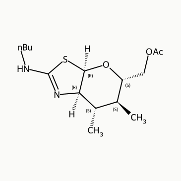 CCCCNC1=N[C@@H]2[C@@H](C)[C@H](C)[C@@H](COC(C)=O)O[C@@H]2S1